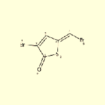 O=C1SC(=CBr)C=C1Br